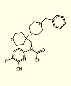 CCC(=O)N(CC1(N2CCN(Cc3ccccc3)CC2)CCOCC1)c1ccc(F)c(C#N)n1